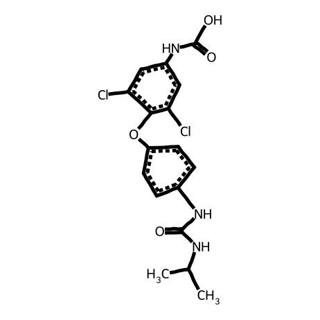 CC(C)NC(=O)Nc1ccc(Oc2c(Cl)cc(NC(=O)O)cc2Cl)cc1